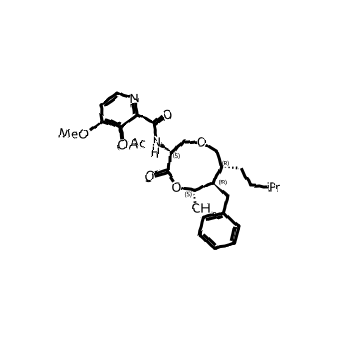 COc1ccnc(C(=O)N[C@H]2COC[C@H](CCC(C)C)[C@@H](Cc3ccccc3)[C@H](C)OC2=O)c1OC(C)=O